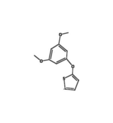 COc1cc(OC)cc(Oc2cc[c]s2)c1